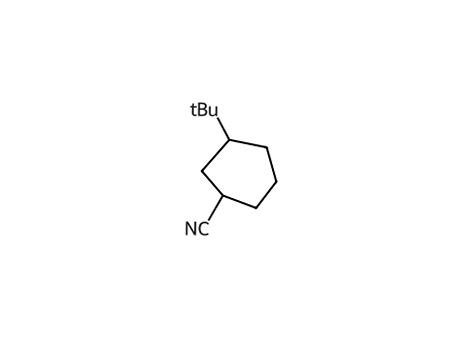 CC(C)(C)C1CCCC(C#N)C1